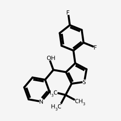 CC(C)(C)c1scc(-c2ccc(F)cc2F)c1C(O)c1cccnc1